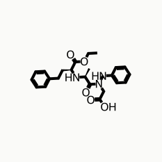 CCOC(=O)[C@H](CCc1ccccc1)N[C@@H](C)C(=O)N(CC(=O)O)Nc1ccccc1